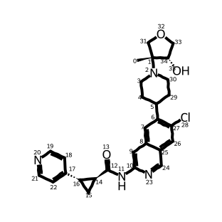 C[C@@]1(N2CCC(c3cc4cc(NC(=O)[C@H]5C[C@@H]5c5ccncc5)ncc4cc3Cl)CC2)COC[C@@H]1O